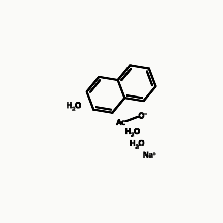 CC(=O)[O-].O.O.O.[Na+].c1ccc2ccccc2c1